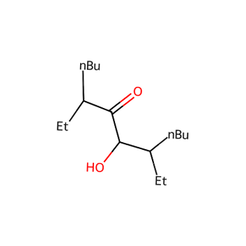 CCCCC(CC)C(=O)C(O)C(CC)CCCC